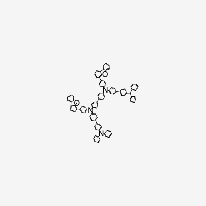 c1ccc(C(c2ccccc2)c2ccc(-c3ccc(N(c4ccc(-c5ccc(N(c6ccc(-c7ccc(N(c8ccccc8)c8ccccc8)cc7)cc6)c6ccc(-c7cccc8c7oc7ccccc78)cc6)cc5)cc4)c4ccc(-c5cccc6c5oc5ccccc56)cc4)cc3)cc2)cc1